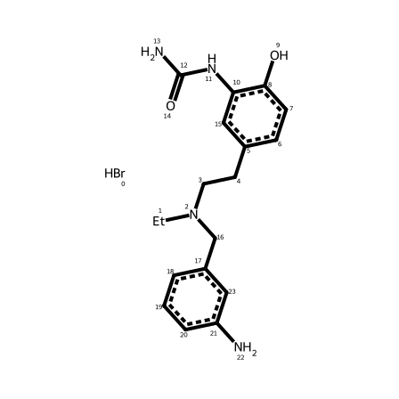 Br.CCN(CCc1ccc(O)c(NC(N)=O)c1)Cc1cccc(N)c1